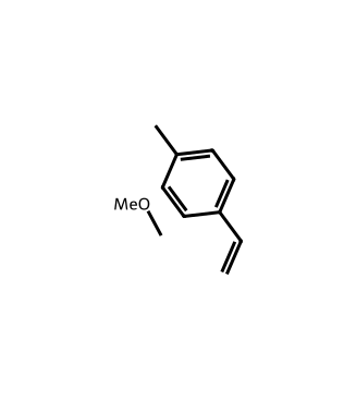 C=Cc1ccc(C)cc1.COC